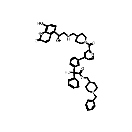 O=C(c1cc(-c2cccc(C(O)(C(=O)OCC3CCN(Cc4ccccc4)CC3)c3ccccc3)c2)ccn1)N1CCC(CNCC(O)c2ccc(O)c3[nH]c(=O)ccc23)CC1